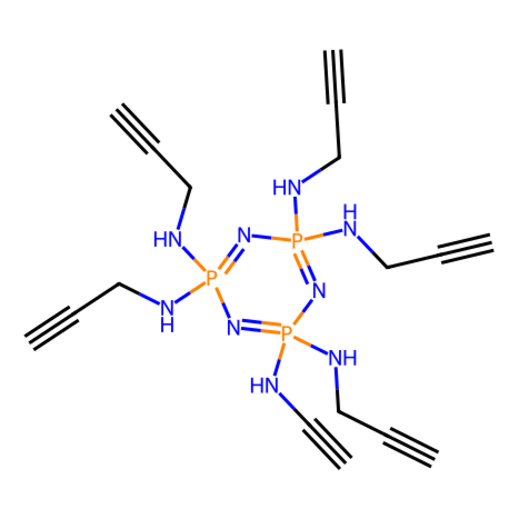 C#CCNP1(NC#C)=NP(NCC#C)(NCC#C)=NP(NCC#C)(NCC#C)=N1